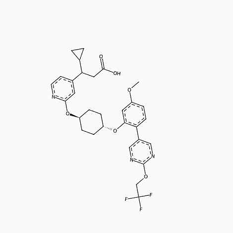 COc1ccc(-c2cnc(OCC(F)(F)F)nc2)c(O[C@H]2CC[C@H](Oc3cc(C(CC(=O)O)C4CC4)ccn3)CC2)c1